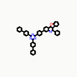 c1ccc(-c2ccc(-c3nc(-c4ccc(-c5ccccc5)cc4)nc(-c4ccc(-c5ccc6c(c5)nc(-c5ccccc5)c5c7ccccc7oc65)cc4)n3)cc2)cc1